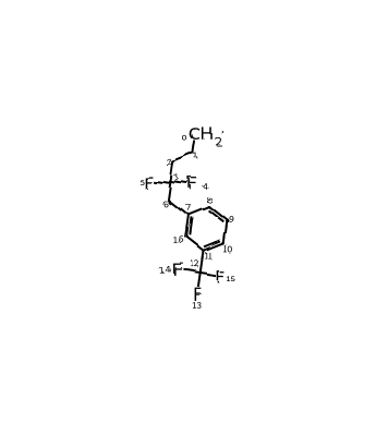 [CH2]CCC(F)(F)Cc1cccc(C(F)(F)F)c1